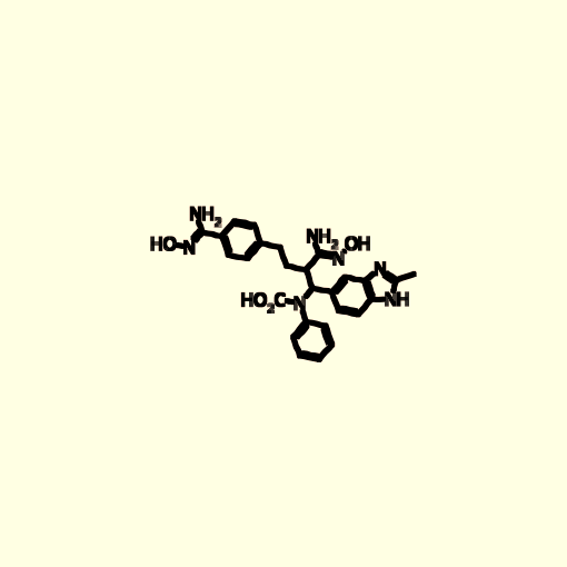 Cc1nc2cc(C(C(CCc3ccc(C(N)=NO)cc3)C(N)=NO)N(C(=O)O)c3ccccc3)ccc2[nH]1